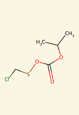 CC(C)OC(=O)OSCCl